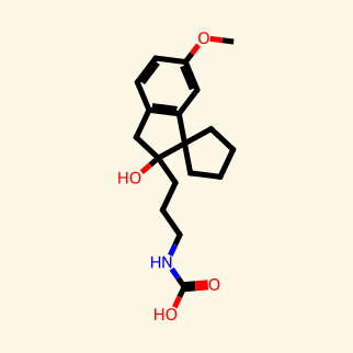 COc1ccc2c(c1)C1(CCCC1)C(O)(CCCNC(=O)O)C2